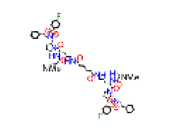 CN[C@@H](C)C(=O)N[C@@H](CCCNC(=O)CCCCC(=O)NCCC[C@H](NC(=O)[C@H](C)NC)C(=O)N1CCC[C@H]1CN(CCc1ccccc1)S(=O)(=O)c1ccc(F)cc1)C(=O)N1CCC[C@H]1CN(CCc1ccccc1)S(=O)(=O)c1ccc(F)cc1